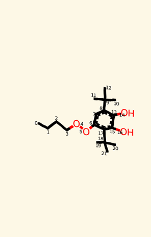 CCCCOOc1cc(C(C)(C)C)c(O)c(O)c1C(C)(C)C